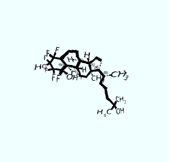 C[C@H](CCCC(C)(C)O)[C@H]1CC[C@H]2[C@@H]3CC=C4C(F)(F)C(O)(F)C(F)(F)C(O)(F)[C@]4(C)[C@H]3CC[C@]12C